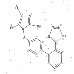 CCCCc1nc(Cl)c(CC)n1Cc1ccc(-c2ccccc2-c2nnn[nH]2)cc1